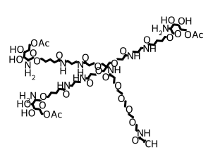 C#CC(=O)NCCOCCOCCOCCOCCC(=O)NC(COCCC(=O)NCCCNC(=O)CCCCOC1OC(COC(C)=O)C(O)C(O)C1N)(COCCC(=O)NCCCNC(=O)CCCCOC1OC(COC(C)=O)C(O)C(O)C1N)COCCC(=O)NCCCNC(=O)CCCCOC1OC(COC(C)=O)C(O)C(O)C1N